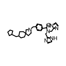 O=C(c1ccc(CN2CCC3(CCC(CC4CCCC4)CC3)C2)cc1)N(Cc1ncc[nH]1)Cc1ncc[nH]1